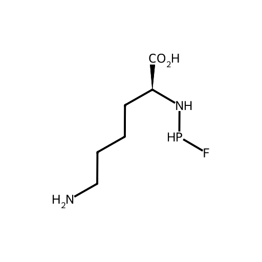 NCCCC[C@H](NPF)C(=O)O